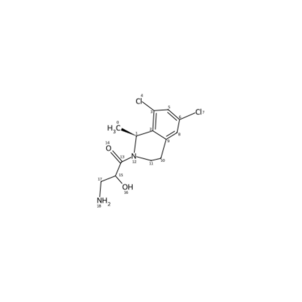 C[C@H]1c2c(Cl)cc(Cl)cc2CCN1C(=O)C(O)CN